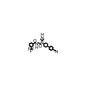 N#Cc1ccc(C2CCC(N(C(=O)CNC(=O)c3cccc(C(F)(F)F)c3)C3CNC3)CC2)cc1